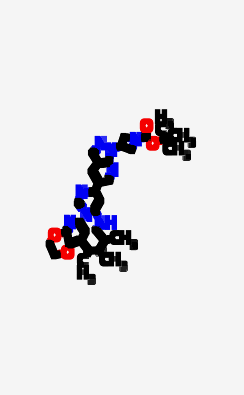 CC(CNc1cc(-c2cnc3c(cnn3C3CN(C(=O)OC(C)(C)C)C3)c2)ncn1)[C@@H](C)C(C)c1ccnc2c1OCCO2